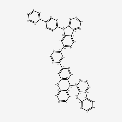 c1ccc(-c2ccc(-n3c4ccccc4c4ccc(-c5cccc(-c6ccc7c(c6)Oc6ccccc6N7c6cccc7c6oc6ccccc67)c5)cc43)cc2)cc1